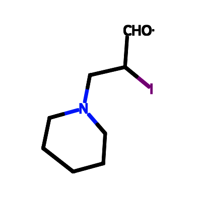 O=[C]C(I)CN1CCCCC1